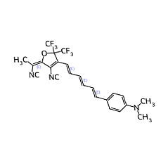 [C-]#[N+]C1=C(/C=C/C=C/C=C/c2ccc(N(C)C)cc2)C(C(F)(F)F)(C(F)(F)F)O/C1=C(\C)[N+]#[C-]